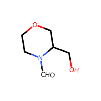 O=CN1CCOCC1CO